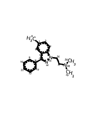 Cc1ccc2c(c1)c(-c1ccccc1)nn2CCN(C)C